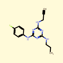 C#CCNc1nc(NCCC)nc(Nc2ccc(F)cc2)n1